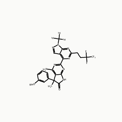 [2H]C([2H])([2H])n1ncc2c(-c3nc(N)c4c(n3)NC(=O)C4(C)c3cccc(OC)c3)nc(CCC(F)(F)C(F)(F)F)nc21